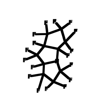 FC1(F)N2C(F)(C(F)(F)C1(F)F)C(F)(F)C1(F)C(F)(F)C(F)(F)C(F)(F)C21F